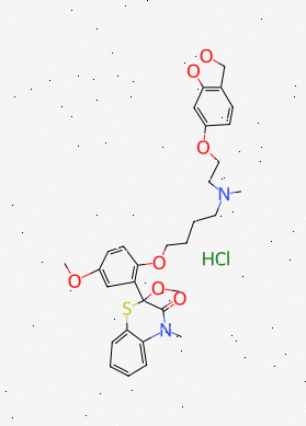 COc1ccc(OCCCCN(C)CCOc2ccc3c(c2)OOC3)c(C2(OC)Sc3ccccc3N(C)C2=O)c1.Cl